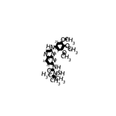 COc1cc(Nc2cnc3ccc(NC(=O)N(S)C(C)(C)C)nc3n2)cc(OC)c1OC